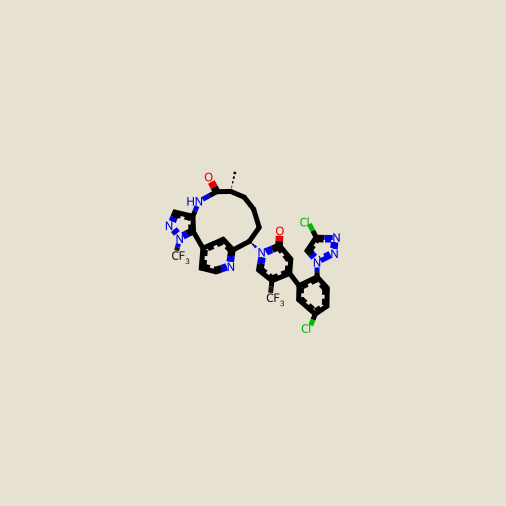 C[C@@H]1CCC[C@H](n2cc(C(F)(F)F)c(-c3cc(Cl)ccc3-n3cc(Cl)nn3)cc2=O)c2cc(ccn2)-c2c(cnn2C(F)(F)F)NC1=O